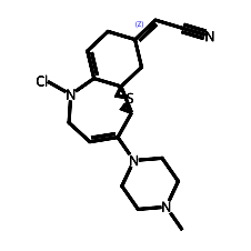 CN1CCN(C2=CCN(Cl)C3=CC/C(=C/C#N)CC34CSC=C24)CC1